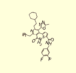 Cc1nnc(-c2c(CCC3CCCCC3)nc(CC(C)C)c(C(N)=O)c2-c2ccc(C(=O)NCc3ccc(F)c(F)c3)s2)o1